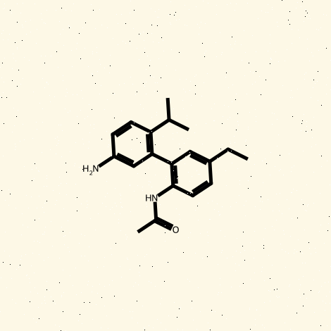 CCc1ccc(NC(C)=O)c(-c2cc(N)ccc2C(C)C)c1